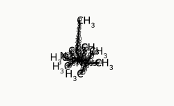 CCCCCCCCCCCCCCCCCCC#CC1=C(c2cc(CCCC)c(CCCC)c(CCCC)c2)[N+](=[N-])C(c2cc(CCCCCC)c(CCCCCC)c(CCCCCC)c2)=C1CCCCCC.[Ni]